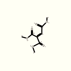 COC(=O)C=C(C(=O)OC)C(=O)OC